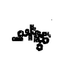 COc1ccccc1CC(=O)N[C@@H](C)C(=O)N[C@H]1N=C(c2ccccc2)c2ccccc2N(C)C1=O